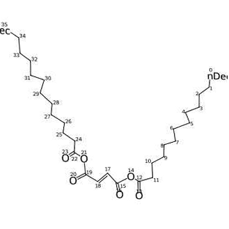 CCCCCCCCCCCCCCCCCCCCCC(=O)OC(=O)C=CC(=O)OC(=O)CCCCCCCCCCCCCCCCCCCCC